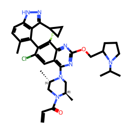 C=CC(=O)N1C[C@H](C)N(c2nc(OCC3CCCN3C(C)C)nc3c(F)c(-c4c(C)ccc5[nH]nc(C6CC6)c45)c(Cl)cc23)C[C@H]1C